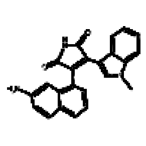 Cn1cc(C2=C(c3cccc4ccc(N)cc34)C(=O)NC2=O)c2ccccc21